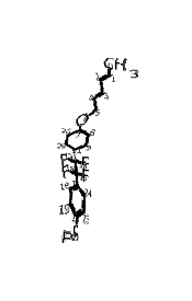 CCCCCCO[C@H]1CC[C@H](C(F)(F)C(F)(F)c2ccc(SF)cc2)CC1